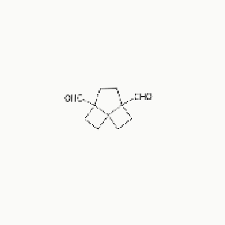 O=CC12CCC3(C=O)CCC13CC2